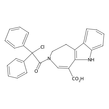 O=C(O)C1=CN(C(=O)C(Cl)(c2ccccc2)c2ccccc2)CCc2c1[nH]c1ccccc21